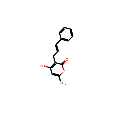 Cc1cc(O)c(C/C=C/c2ccccc2)c(=O)o1